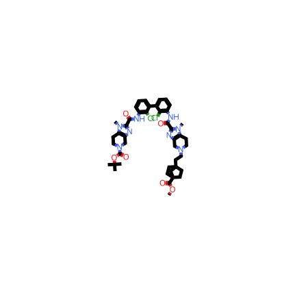 COC(=O)C12CCC(CCN3CCc4c(nc(C(=O)Nc5cccc(-c6cccc(NC(=O)c7nc8c(n7C)CCN(C(=O)OC(C)(C)C)C8)c6Cl)c5Cl)n4C)C3)(CC1)C2